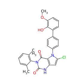 COc1cccc(-c2ccc(-n3c(Cl)cc4[nH]c(=O)n(-c5c(C)cccc5C)c(=O)c43)cc2)c1O